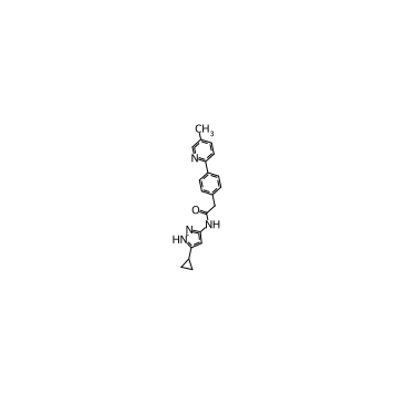 Cc1ccc(-c2ccc(CC(=O)Nc3cc(C4CC4)[nH]n3)cc2)nc1